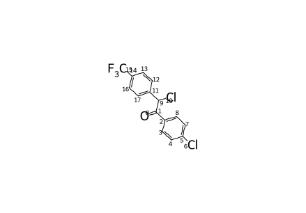 O=C(c1ccc(Cl)cc1)C(Cl)c1ccc(C(F)(F)F)cc1